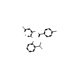 Cc1ccc(C(=O)Oc2cc(Cl)nnc2Oc2ccccc2C(C)C)cc1